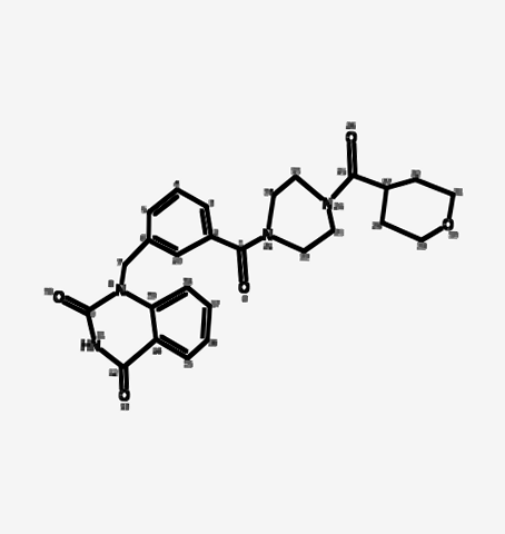 O=C(c1cccc(Cn2c(=O)[nH]c(=O)c3ccccc32)c1)N1CCN(C(=O)C2CCOCC2)CC1